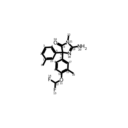 Cc1cccc(C2(c3ccc(OC(F)F)c(C)c3)N=C(N)N(C)C2=O)c1